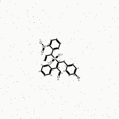 C=CC(c1ccccc1[N+](=O)[O-])S(=O)(=O)C(Cc1ccc(Br)cc1)=C(C=O)c1ccccc1